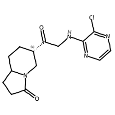 O=C(CNc1nccnc1Cl)[C@H]1CCC2CCC(=O)N2C1